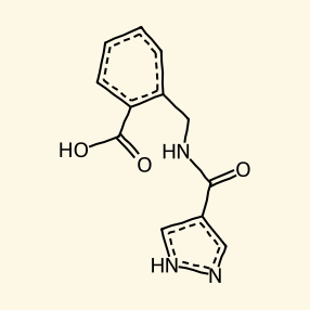 O=C(NCc1ccccc1C(=O)O)c1cn[nH]c1